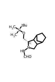 CC(C)(C)[Si](C)(C)OC[C@@H]1C2C3CCC(C3)C2CN1BC=O